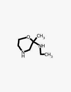 CCNC1(C)CNCCO1